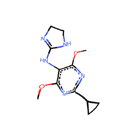 COc1nc(C2CC2)nc(OC)c1NC1=NCCN1